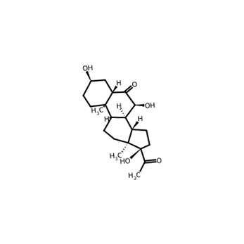 CC(=O)[C@@]1(O)CC[C@H]2[C@@H]3[C@H](O)C(=O)[C@H]4C[C@H](O)CC[C@]4(C)[C@H]3CC[C@@]21C